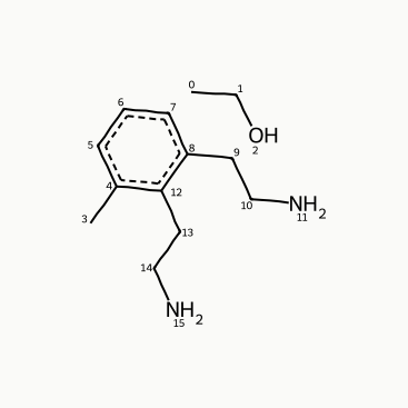 CCO.Cc1cccc(CCN)c1CCN